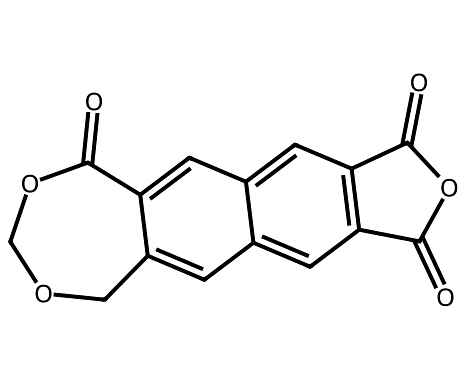 O=C1OCOCc2cc3cc4c(cc3cc21)C(=O)OC4=O